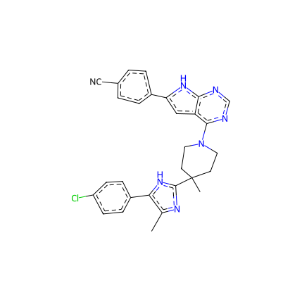 Cc1nc(C2(C)CCN(c3ncnc4[nH]c(-c5ccc(C#N)cc5)cc34)CC2)[nH]c1-c1ccc(Cl)cc1